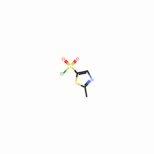 Cc1ncc(S(=O)(=O)Cl)s1